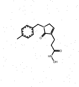 Cc1ccc(CN2CC=C(CCC(=O)NO)C2=O)cc1